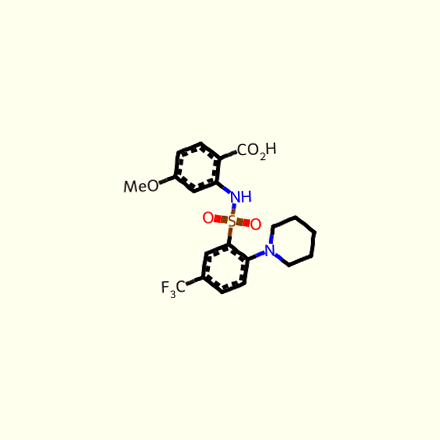 COc1ccc(C(=O)O)c(NS(=O)(=O)c2cc(C(F)(F)F)ccc2N2CCCCC2)c1